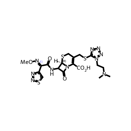 CO/N=C(/C(=O)NC1C(=O)N2C(C(=O)O)=C(CSc3nnnn3CCN(C)C)CS[C@H]12)c1csnn1